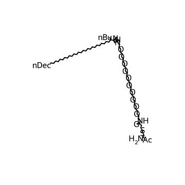 CCCCCCCCCCCCCCCCCCCCCCCCCCCCCCCCCCCCC(CCCC)c1cn(CCOCCOCCOCCOCCOCCOCCOCCOCCOCCOCCNC(=O)CCSSC[C@H](N)C(C)=O)nn1